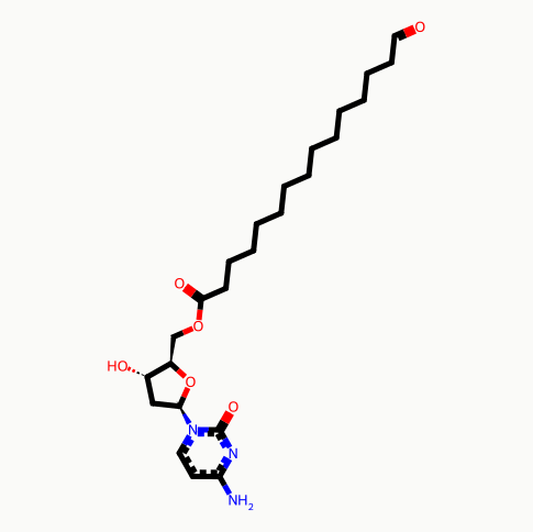 Nc1ccn([C@H]2C[C@H](O)[C@@H](COC(=O)CCCCCCCCCCCCCC=O)O2)c(=O)n1